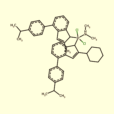 CC1=Cc2c(-c3ccc(C(C)C)cc3)cccc2[CH]1[Zr]([Cl])([Cl])([CH]1C(C2CCCCC2)=Cc2c(-c3ccc(C(C)C)cc3)cccc21)[SiH](C)C